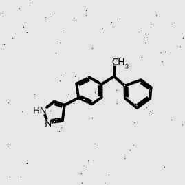 CC(c1ccccc1)c1ccc(-c2cn[nH]c2)cc1